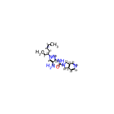 C=CC(C/C=C\C)n1cc(N)c(NC(=O)N2Cc3ccncc3C2)n1